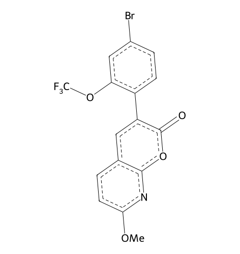 COc1ccc2cc(-c3ccc(Br)cc3OC(F)(F)F)c(=O)oc2n1